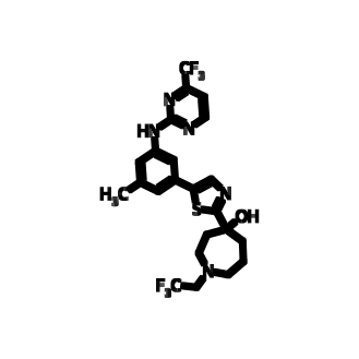 Cc1cc(Nc2nccc(C(F)(F)F)n2)cc(-c2cnc(C3(O)CCCN(CC(F)(F)F)CC3)s2)c1